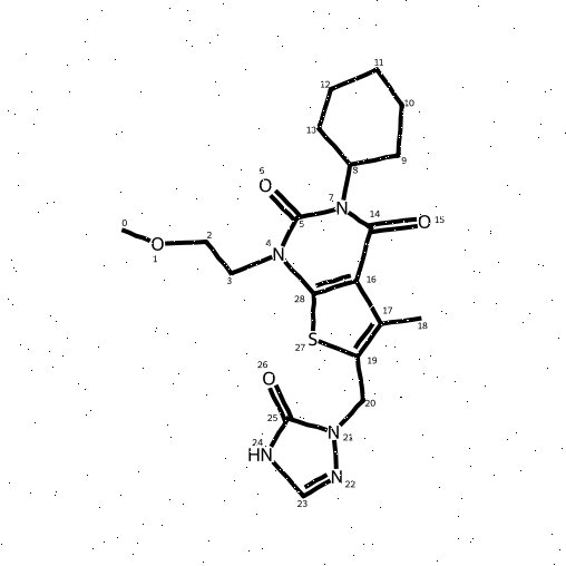 COCCn1c(=O)n(C2CCCCC2)c(=O)c2c(C)c(Cn3nc[nH]c3=O)sc21